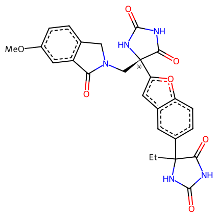 CCC1(c2ccc3oc([C@]4(CN5Cc6ccc(OC)cc6C5=O)NC(=O)NC4=O)cc3c2)NC(=O)NC1=O